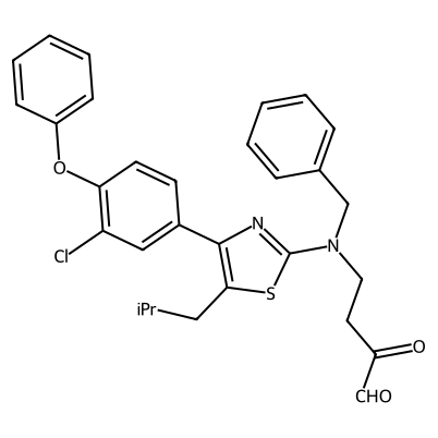 CC(C)Cc1sc(N(CCC(=O)C=O)Cc2ccccc2)nc1-c1ccc(Oc2ccccc2)c(Cl)c1